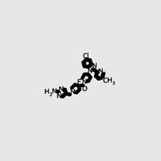 Cc1ccc(-c2nc3cc(Cl)ccc3n2C2CCN(C(=O)C3(F)CCN(Cc4cnc(N)nc4)CC3)CC2)nc1